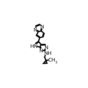 CC1(CNc2ncc3c(-c4ccc5nccnc5c4)c[nH]c3n2)CC1